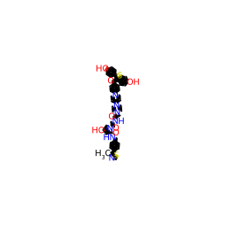 Cc1ncsc1-c1ccc(CNC(=O)[C@@H]2C[C@@H](O)CN2C(=O)CNC(=O)CN2CCN(C3CCN(c4ccc(C(=O)c5c(-c6ccc(O)cc6)sc6cc(O)ccc56)cc4)CC3)CC2)cc1